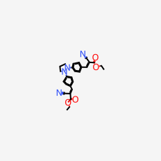 CCOC(=O)/C(C#N)=C/c1ccc(N2CCCN2c2ccc(/C=C(\C#N)C(=O)OCC)cc2)cc1